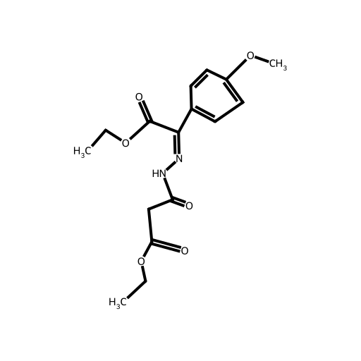 CCOC(=O)CC(=O)NN=C(C(=O)OCC)c1ccc(OC)cc1